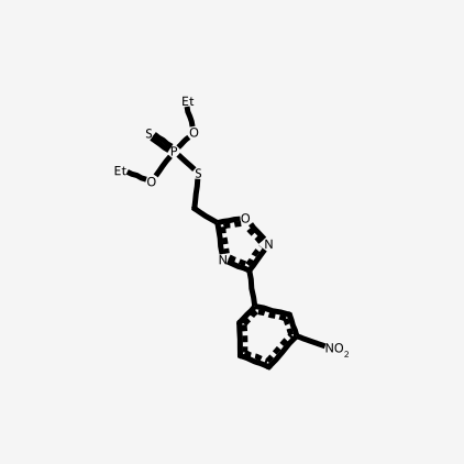 CCOP(=S)(OCC)SCc1nc(-c2cccc([N+](=O)[O-])c2)no1